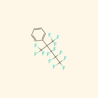 FC(F)(F)C(F)(F)C(F)(F)C(c1[c]cccc1)(C(F)(F)F)C(F)(F)F